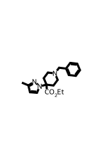 CCOC(=O)C1(n2ccc(C)n2)CCN(Cc2ccccc2)CC1